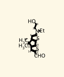 CCN(CCO)c1cc2c(s1)-c1sc(C=O)cc1C2(C)C